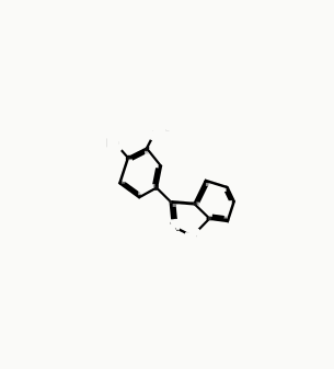 CCCc1cc(-c2noc3ccccc23)ccc1O